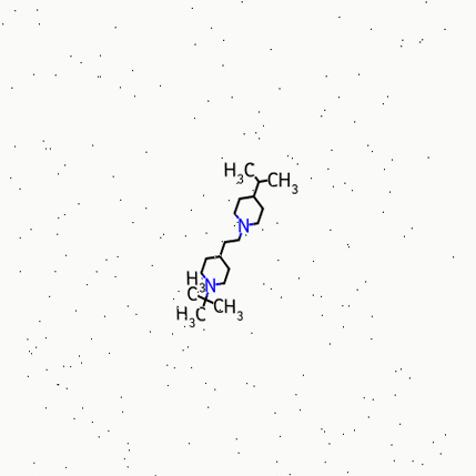 CC(C)C1CCN(CCC2CCN(C(C)(C)C)CC2)CC1